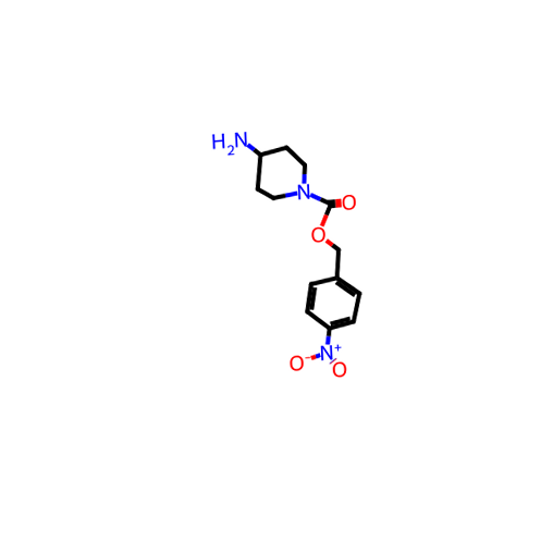 NC1CCN(C(=O)OCc2ccc([N+](=O)[O-])cc2)CC1